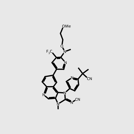 COCCON(C)c1ncc(-c2ccc3ncc4c(c3c2)n(-c2ccc(C(C)(C)C#N)nc2)/c(=N\C#N)n4C)cc1C(F)(F)F